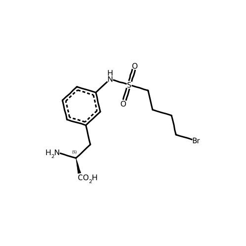 N[C@@H](Cc1cccc(NS(=O)(=O)CCCCBr)c1)C(=O)O